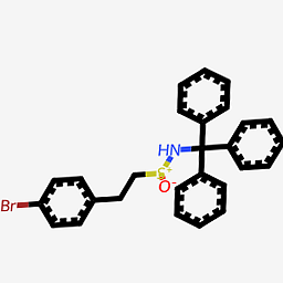 [O-][S+](CCc1ccc(Br)cc1)NC(c1ccccc1)(c1ccccc1)c1ccccc1